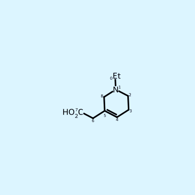 CCN1CCC=C(CC(=O)O)C1